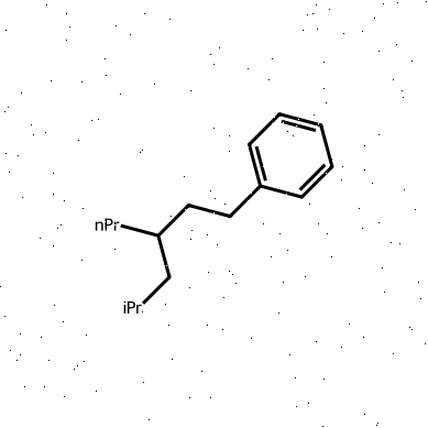 CCCC(CCc1ccccc1)CC(C)C